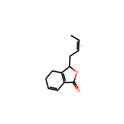 C/C=C\CC1OC(=O)C2=C1CCC=C2